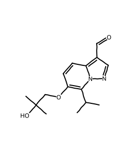 CC(C)c1c(OCC(C)(C)O)ccc2c(C=O)cnn12